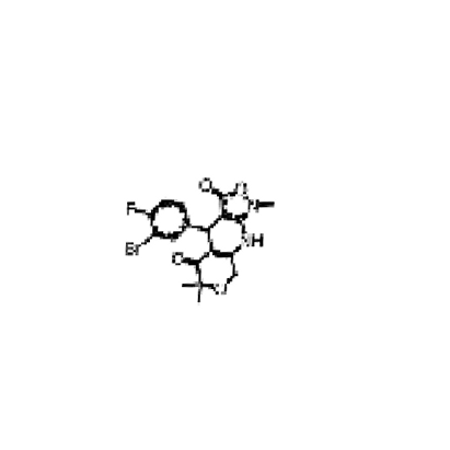 Cn1oc(=O)c2c1NC1=C(C(=O)C(C)(C)OC1)C2c1ccc(F)c(Br)c1